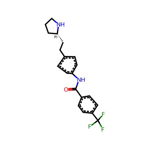 O=C(Nc1ccc(CC[C@@H]2CCCN2)cc1)c1ccc(C(F)(F)F)cc1